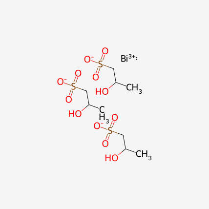 CC(O)CS(=O)(=O)[O-].CC(O)CS(=O)(=O)[O-].CC(O)CS(=O)(=O)[O-].[Bi+3]